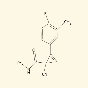 Cc1cc(C2=CC2(C#N)C(=O)NC(C)C)ccc1F